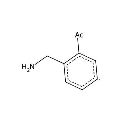 CC(=O)c1c[c]ccc1CN